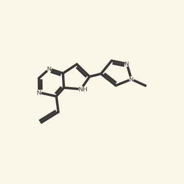 C=Cc1ncnc2cc(-c3cnn(C)c3)[nH]c12